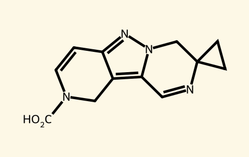 O=C(O)N1C=Cc2nn3c(c2C1)C=NC1(CC1)C3